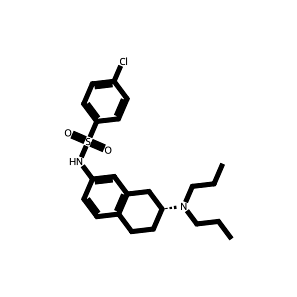 CCCN(CCC)[C@@H]1CCc2ccc(NS(=O)(=O)c3ccc(Cl)cc3)cc2C1